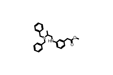 COC(=O)Cc1cccc(NCC(C)N(Cc2ccccc2)Cc2ccccc2)c1